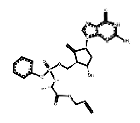 C=CCOC(=O)[C@H](C)NP(=O)(OC[C@H]1C(=C)[C@@H](n2cnc3c(=O)[nH]c(N)nc32)C[C@@H]1O)Oc1ccccc1